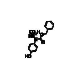 O=C(O)NN(C(=O)OCc1ccccc1)c1ccc(O)cc1